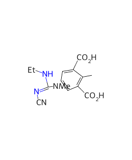 CCNC(=NC#N)NC.Cc1c(C(=O)O)cccc1C(=O)O